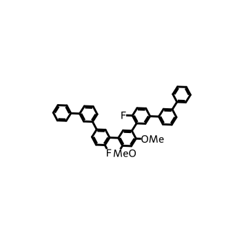 COc1cc(OC)c(-c2cc(-c3cccc(-c4ccccc4)c3)ccc2F)cc1-c1cc(-c2cccc(-c3ccccc3)c2)ccc1F